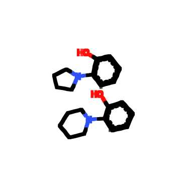 Oc1ccc[c]c1N1CCCC1.Oc1ccc[c]c1N1CCCCC1